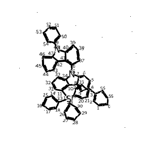 c1ccc(-c2ccc3c(c2)c2c([Si](c4ccccc4)(c4ccccc4)c4ccccc4)cccc2n3-c2cccc3c2c2ccccc2n3-c2ccccc2)cc1